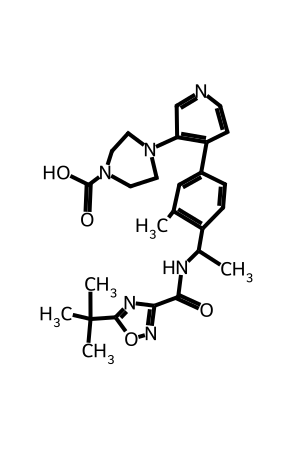 Cc1cc(-c2ccncc2N2CCN(C(=O)O)CC2)ccc1C(C)NC(=O)c1noc(C(C)(C)C)n1